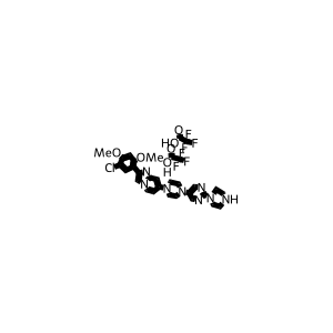 COc1cc(OC)c(-c2cn3ccc(N4CCN(c5cnc(N6CCNCC6)nc5)CC4)cc3n2)cc1Cl.O=C(O)C(F)(F)F.O=C(O)C(F)(F)F